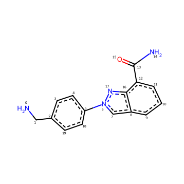 NCc1ccc(-n2cc3cccc(C(N)=O)c3n2)cc1